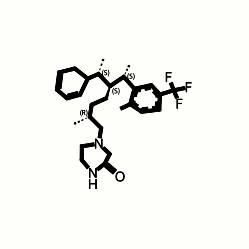 Cc1ccc(C(F)(F)F)cc1[C@@H](C)[C@@H](CC[C@@H](C)CN1CCNC(=O)C1)[C@@H](C)C1C=CC=CC1